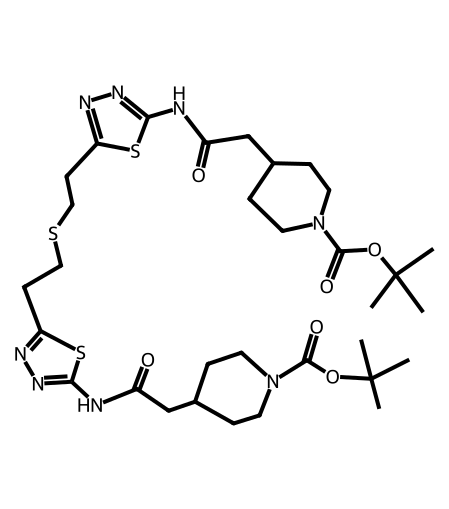 CC(C)(C)OC(=O)N1CCC(CC(=O)Nc2nnc(CCSCCc3nnc(NC(=O)CC4CCN(C(=O)OC(C)(C)C)CC4)s3)s2)CC1